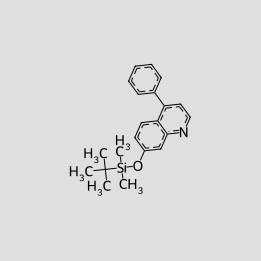 CC(C)(C)[Si](C)(C)Oc1ccc2c(-c3ccccc3)ccnc2c1